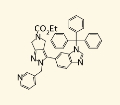 CCOC(=O)N1Cc2nn(Cc3cccnc3)c(-c3ccc4ncn(C(c5ccccc5)(c5ccccc5)c5ccccc5)c4c3)c2C1